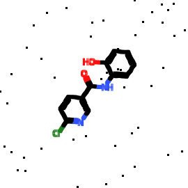 O=C(Nc1ccccc1O)c1ccc(Cl)nc1